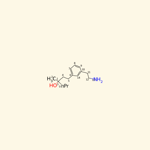 CCCC(C)(O)CCc1cccc(CCN)c1